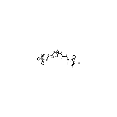 C=C(C)C(=O)[AsH]CCC[N+](C)(C)CCCCS(=O)(=O)[O-]